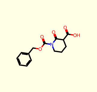 O=C(O)C1CCCN(C(=O)OCc2ccccc2)C1=O